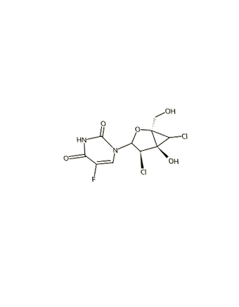 O=c1[nH]c(=O)n(C2O[C@@]3(CO)C(Cl)[C@]3(O)[C@H]2Cl)cc1F